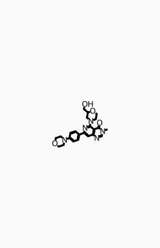 Cn1cnc2cc(-c3ccc(N4CCOCC4)cc3)nc(N3CCOC(CO)C3)c2c1=O